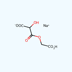 O=C(O)COC(=O)C(O)C(=O)[O-].[Na+]